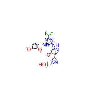 COc1ccc(CNc2cc(Nc3cc(OC)c(-c4cnn(CC(C)(C)O)c4)cn3)nc(C(F)F)n2)c(OC)c1